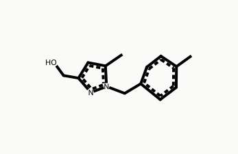 Cc1ccc(Cn2nc(CO)cc2C)cc1